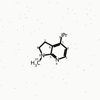 CC(C)c1ccnc2c1CCN2C